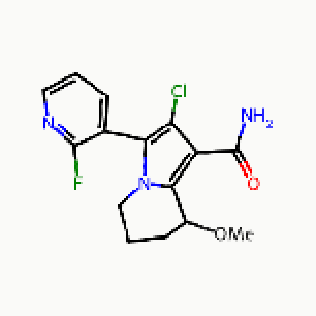 COC1CCCn2c(-c3cccnc3F)c(Cl)c(C(N)=O)c21